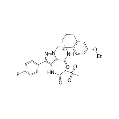 CCOc1ccc2c(c1)CCC[C@]21Cn2nc(-c3ccc(F)cc3)c(NC(=O)CS(C)(=O)=O)c2C(=O)N1